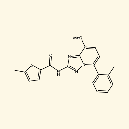 COc1ccc(-c2ccccc2C)n2nc(NC(=O)c3ccc(C)s3)nc12